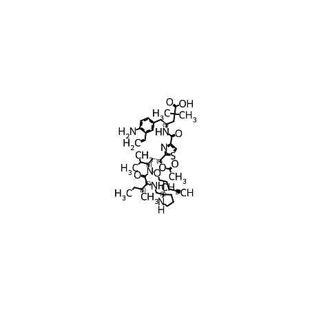 C#CCCCON(C(=O)[C@@H](NC[C@@]1(C)CCCN1)[C@@H](C)CC)[C@H](C[C@@H](OC(C)=O)c1nc(C(=O)N[C@@H](Cc2ccc(N)c(C=C)c2)CC(C)(C)C(=O)O)cs1)C(C)C